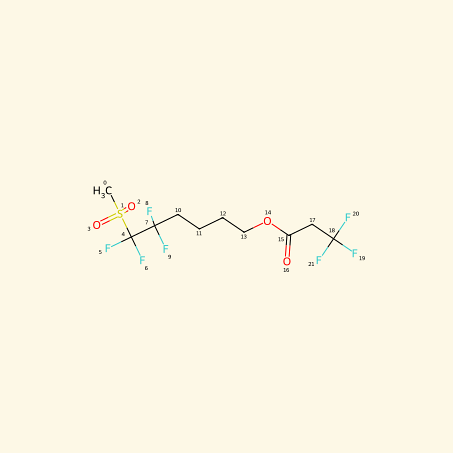 CS(=O)(=O)C(F)(F)C(F)(F)CCCCOC(=O)CC(F)(F)F